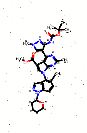 COC(=O)c1cn(-c2c(C)ccc3c2cnn3C2CCCCO2)c2nc(C)nc(-c3cn(C)nc3NC(=O)OC(C)(C)C)c12